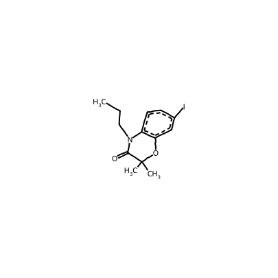 CCCN1C(=O)C(C)(C)Oc2cc(I)ccc21